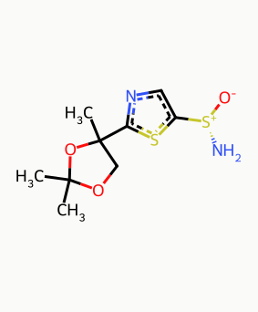 CC1(C)OCC(C)(c2ncc([S@@+](N)[O-])s2)O1